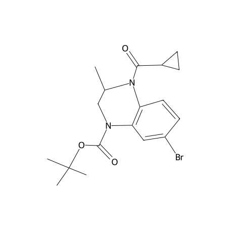 CC1CN(C(=O)OC(C)(C)C)c2cc(Br)ccc2N1C(=O)C1CC1